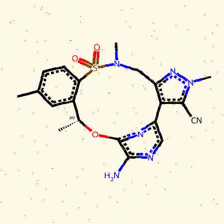 Cc1ccc2c(c1)[C@@H](C)Oc1nc(cnc1N)-c1c(nn(C)c1C#N)CN(C)S2(=O)=O